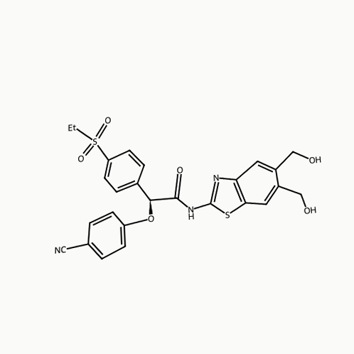 CCS(=O)(=O)c1ccc([C@H](Oc2ccc(C#N)cc2)C(=O)Nc2nc3cc(CO)c(CO)cc3s2)cc1